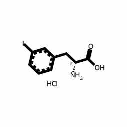 Cl.N[C@H](Cc1cccc(I)c1)C(=O)O